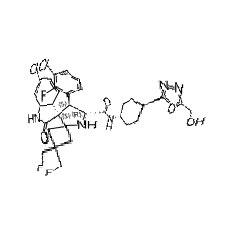 O=C(N[C@H]1CC[C@H](c2nnc(CO)o2)CC1)[C@@H]1NC2(CC(CF)(CF)C2)[C@@]2(C(=O)NC3C=C(Cl)C=CC32)[C@H]1c1cccc(Cl)c1F